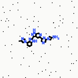 Cc1cn(-c2cccc3[nH]c(-c4n[nH]c5cnc(-c6cncc(N7CC(N)C7)n6)cc45)nc23)cn1